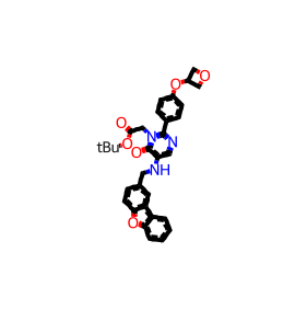 CC(C)(C)OC(=O)Cn1c(-c2ccc(OC3COC3)cc2)ncc(NCc2ccc3oc4ccccc4c3c2)c1=O